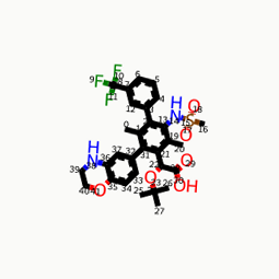 Cc1c(-c2cccc(C(F)(F)F)c2)c(NS(C)(=O)=O)c(C)c(C(OC(C)(C)C)C(=O)O)c1-c1ccc2c(c1)NCCO2